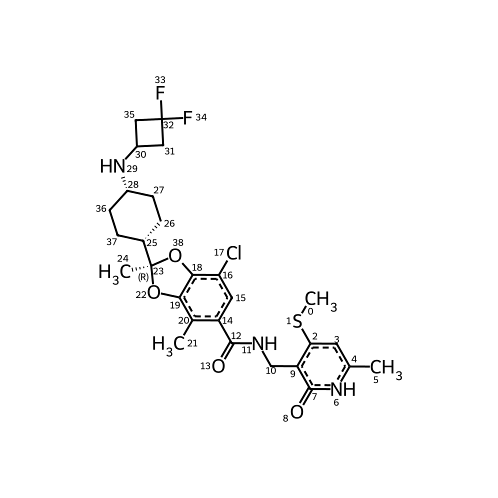 CSc1cc(C)[nH]c(=O)c1CNC(=O)c1cc(Cl)c2c(c1C)O[C@@](C)([C@H]1CC[C@@H](NC3CC(F)(F)C3)CC1)O2